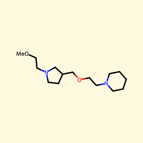 COCCN1CCC(COCCN2CCCCC2)C1